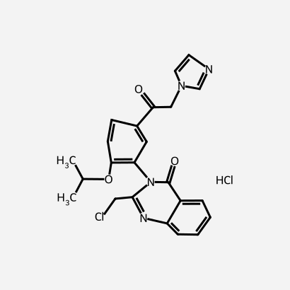 CC(C)Oc1ccc(C(=O)Cn2ccnc2)cc1-n1c(CCl)nc2ccccc2c1=O.Cl